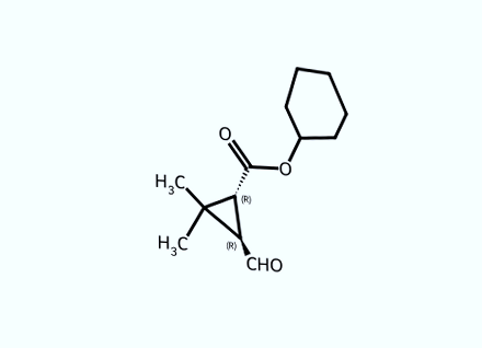 CC1(C)[C@H](C=O)[C@H]1C(=O)OC1CCCCC1